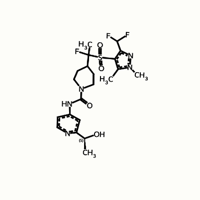 Cc1c(S(=O)(=O)C(C)(F)C2CCN(C(=O)Nc3ccnc([C@H](C)O)c3)CC2)c(C(F)F)nn1C